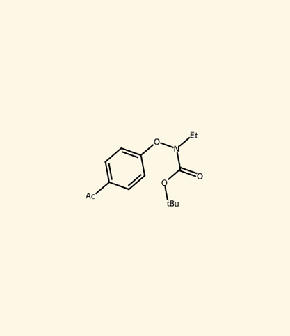 CCN(Oc1ccc(C(C)=O)cc1)C(=O)OC(C)(C)C